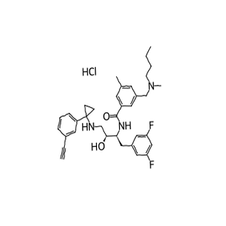 C#Cc1cccc(C2(NC[C@H](O)[C@H](Cc3cc(F)cc(F)c3)NC(=O)c3cc(C)cc(CN(C)CCCC)c3)CC2)c1.Cl